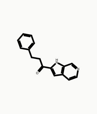 O=C(CCc1ccccc1)c1cc2ccncc2[nH]1